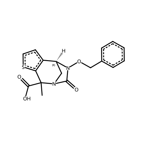 CC1(C(=O)O)c2sccc2[C@@H]2CN1C(=O)N2OCc1ccccc1